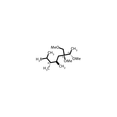 BC(C)[C@@H](C)C(=C)C[C@@](COC)(OC)[C@H](C)OC